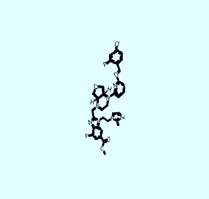 COC(=O)c1cc(F)c2nc(CN3CCN(c4cccc(OCc5ccc(Cl)cc5F)n4)[C@H]4COC[C@H]43)n(CCn3ccnc3C)c2c1